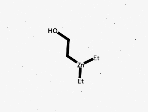 C[CH2][Zn]([CH2]C)[CH2]CO